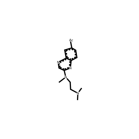 CC(=O)c1ccc2nc(N(C)CCN(C)C)cnc2c1